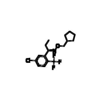 CC/C(=N\OCC1CCCC1)c1cc(Cl)ccc1C(F)(F)F